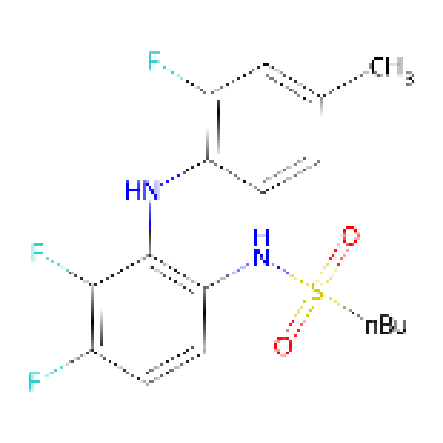 CCCCS(=O)(=O)Nc1ccc(F)c(F)c1Nc1ccc(C)cc1F